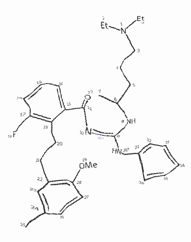 CCN(CC)CCCC(C)N/C(=N\C(=O)c1cccc(F)c1CCc1cc(C)ccc1OC)Nc1ccccc1